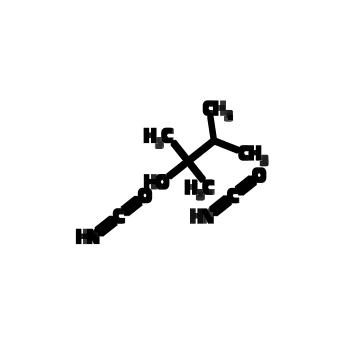 CC(C)C(C)(C)O.N=C=O.N=C=O